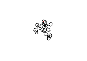 O=C(OCc1ccc([N+](=O)[O-])cc1)C(N1C(=O)C[C@@H]1SC(=O)c1cccnc1)=P(c1ccccc1)(c1ccccc1)c1ccccc1